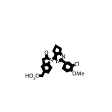 COc1ccc(-c2nc3c(c(N4C(=O)Cc5cc(CC(=O)O)ccc54)n2)CCC3)cc1Cl